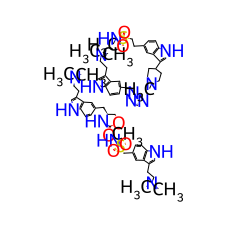 CN(C)CCc1c[nH]c2ccc(C[C@H]3COC(=O)N3)cc12.CN(C)CCc1c[nH]c2ccc(Cn3cncn3)cc12.CNS(=O)(=O)CCc1ccc2[nH]cc(C3CCN(C)CC3)c2c1.CNS(=O)(=O)Cc1ccc2[nH]cc(CCN(C)C)c2c1